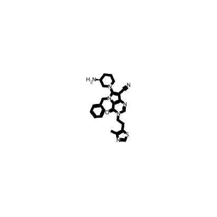 Cc1ncsc1CCn1cnc2c(C#N)c(N3CCC[C@H](N)C3)n(Cc3ccccc3)c2c1=O